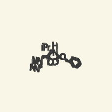 CC(C)C(NC(=O)OCc1ccccc1)C(=O)Cn1cnnn1